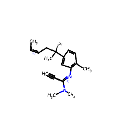 C#C/C(=N\c1cc(C(C)(C/C=C\C)C(C)C)ccc1C)N(C)C